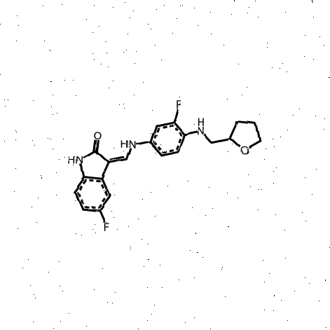 O=C1Nc2ccc(F)cc2C1=CNc1ccc(NCC2CCCO2)c(F)c1